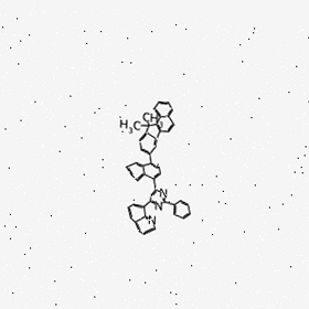 CC1(C)c2ccc(-c3ccc(-c4cc(-c5cccc6cccnc56)nc(-c5ccccc5)n4)c4ccccc34)cc2-c2ccc3ccccc3c21